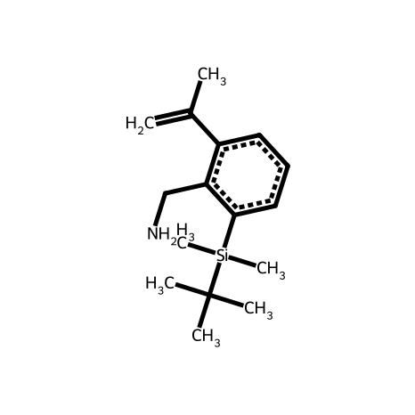 C=C(C)c1cccc([Si](C)(C)C(C)(C)C)c1CN